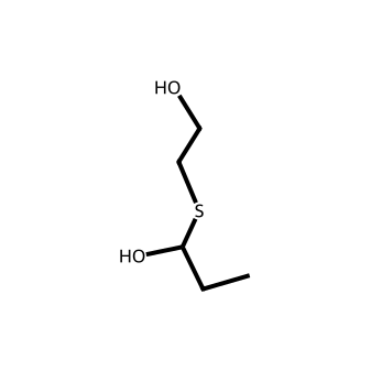 CCC(O)SCCO